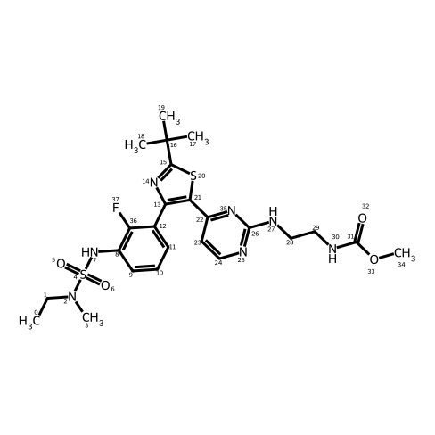 CCN(C)S(=O)(=O)Nc1cccc(-c2nc(C(C)(C)C)sc2-c2ccnc(NCCNC(=O)OC)n2)c1F